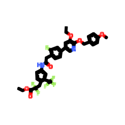 CCOC(=O)C(F)(F)Cc1ccc(NC(=O)Cc2ccc(-c3cnc(OCc4ccc(OC)cc4)c(OCC)c3)cc2F)cc1C(F)(F)F